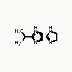 C1=NCCN1.CC(C)c1ncc[nH]1